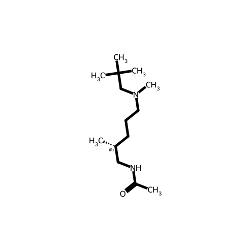 CC(=O)NC[C@H](C)CCCN(C)CC(C)(C)C